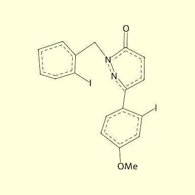 COc1ccc(-c2ccc(=O)n(Cc3ccccc3I)n2)c(I)c1